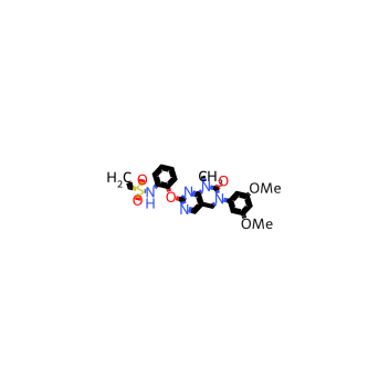 C=CS(=O)(=O)Nc1ccccc1Oc1ncc2c(n1)N(C)C(=O)N(c1cc(OC)cc(OC)c1)C2